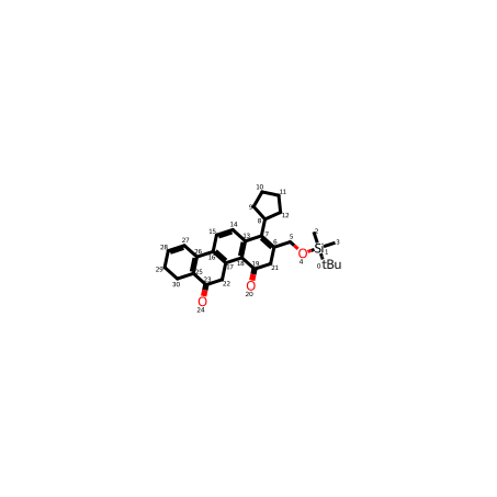 CC(C)(C)[Si](C)(C)OCC1=C(C2CCCC2)c2ccc3c(c2C(=O)C1)CC(=O)C1=C3C=CCC1